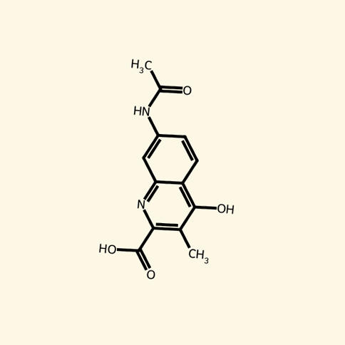 CC(=O)Nc1ccc2c(O)c(C)c(C(=O)O)nc2c1